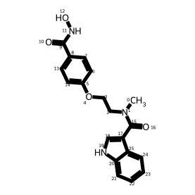 CN(CCOc1ccc(C(=O)NO)cc1)C(=O)c1c[nH]c2ccccc12